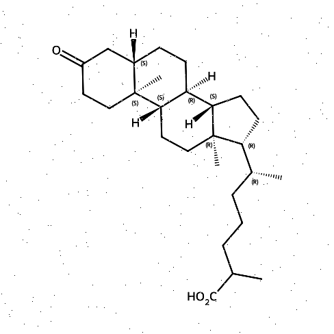 CC(CCC[C@@H](C)[C@H]1CC[C@H]2[C@@H]3CC[C@H]4CC(=O)CC[C@]4(C)[C@H]3CC[C@]12C)C(=O)O